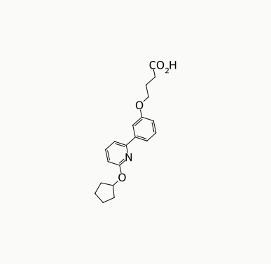 O=C(O)CCCOc1cccc(-c2cccc(OC3CCCC3)n2)c1